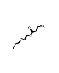 COCOCCOC(=O)CCN